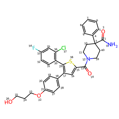 NC(=O)C1(c2ccccc2)CCN(C(=O)c2cc(-c3ccc(OCCCO)cc3)c(-c3ccc(F)cc3Cl)s2)CC1